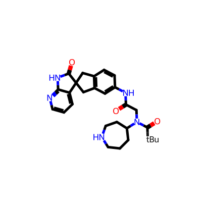 CC(C)(C)C(=O)N(CC(=O)Nc1ccc2c(c1)CC1(C2)C(=O)Nc2ncccc21)C1CCCNCC1